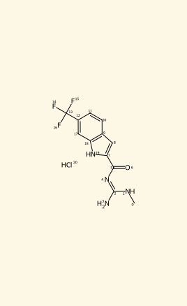 CNC(N)=NC(=O)c1cc2ccc(C(F)(F)F)cc2[nH]1.Cl